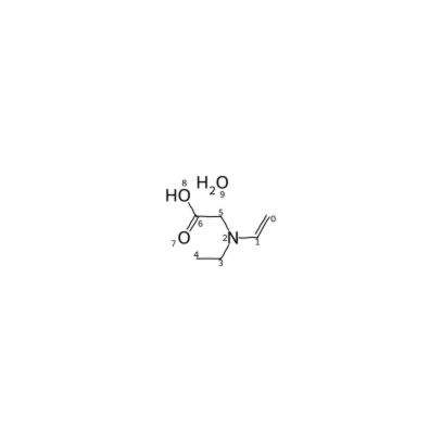 C=CN(CC)CC(=O)O.O